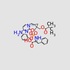 CC(C)C(=O)OCC1(COP(=O)(N[C@@H](Cc2ccccc2)C(=O)O)Oc2ccccc2)C/C1=C/n1ccc(N)nc1=O